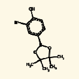 CC1(C)OB(c2ccc(O)c(Br)c2)OC1(C)C